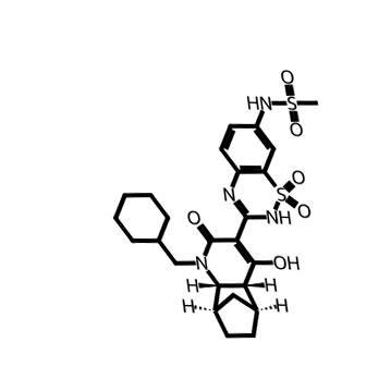 CS(=O)(=O)Nc1ccc2c(c1)S(=O)(=O)NC(C1=C(O)[C@@H]3[C@H]4CC[C@H](C4)[C@@H]3N(CC3CCCCC3)C1=O)=N2